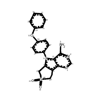 Nc1ncnc2c3c(n(-c4ccc(Oc5ccccc5)cc4)c12)CS(=O)(=O)C3